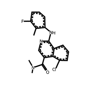 Cc1c(F)cccc1Nc1ncc(C(=O)N(C)C)c2c(Cl)cccc12